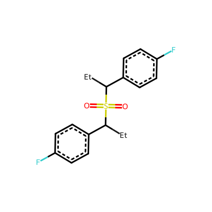 CCC(c1ccc(F)cc1)S(=O)(=O)C(CC)c1ccc(F)cc1